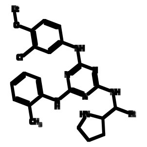 CCOc1ccc(Nc2nc(Nc3ccccc3C)nc(NC(CC)C3CCCN3)n2)cc1Cl